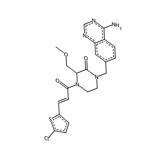 COCC1C(=O)N(Cc2ccc3c(N)ncnc3c2)CCN1C(=O)/C=C/c1ccc(Cl)s1